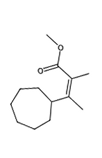 COC(=O)C(C)=C(C)C1CCCCCC1